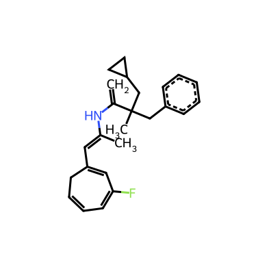 C=C(N/C(C)=C/C1=CC(F)=CC=CC1)C(C)(Cc1ccccc1)CC1CC1